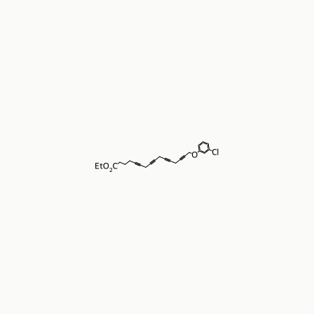 CCOC(=O)CCCC#CCC#CCC#CCC#CCOc1cccc(Cl)c1